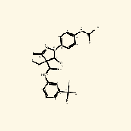 CCC1(C(=O)Nc2cccc(C(C)(F)F)c2)C(C)=NN(c2ccc(OC(F)F)cc2)C1O